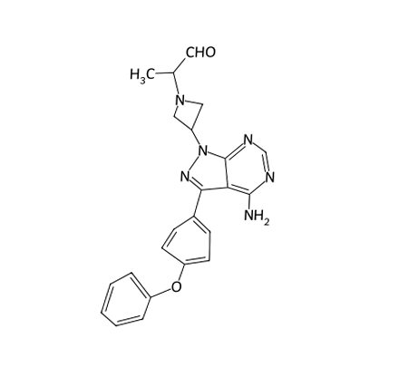 CC(C=O)N1CC(n2nc(-c3ccc(Oc4ccccc4)cc3)c3c(N)ncnc32)C1